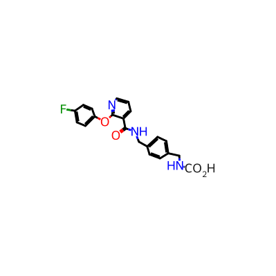 O=C(O)NCc1ccc(CNC(=O)c2cccnc2Oc2ccc(F)cc2)cc1